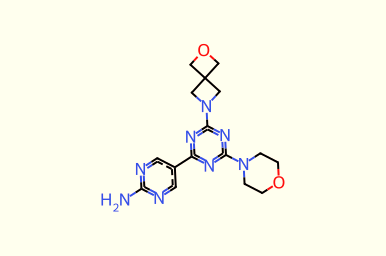 Nc1ncc(-c2nc(N3CCOCC3)nc(N3CC4(COC4)C3)n2)cn1